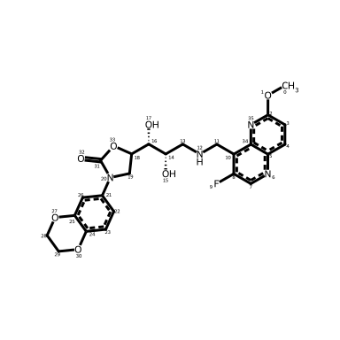 COc1ccc2ncc(F)c(CNC[C@H](O)[C@@H](O)C3CN(c4ccc5c(c4)OCCO5)C(=O)O3)c2n1